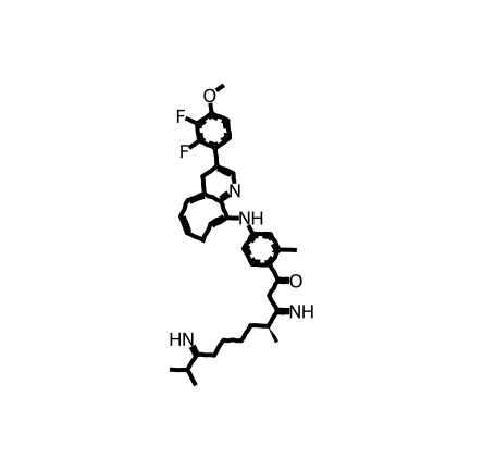 COc1ccc(C2=CN=C3/C(=C\C=C/C/C=C/3Nc3ccc(C(=O)CC(=N)[C@@H](C)CCCCC(=N)C(C)C)c(C)c3)C2)c(F)c1F